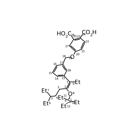 CC/C(=C(/CCC(CC)CC)O[Si](CC)(CC)CC)c1cccc(COc2ccc(C(=O)O)c(C(=O)O)c2)c1